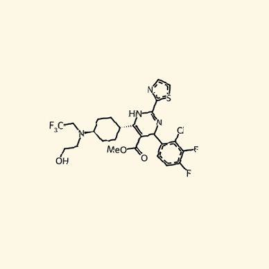 COC(=O)C1=C([C@H]2CC[C@H](N(CCO)CC(F)(F)F)CC2)NC(c2nccs2)=NC1c1ccc(F)c(F)c1Cl